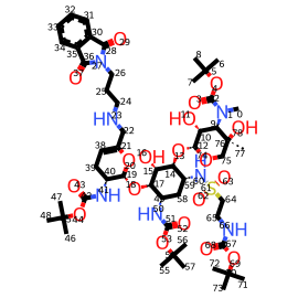 CN(C(=O)OC(C)(C)C)[C@@H]1[C@@H](O)[C@@H](O[C@@H]2[C@@H](O)[C@H](O[C@H]3OC(CNCCCN4C(=O)c5ccccc5C4=O)=CC[C@H]3NC(=O)OC(C)(C)C)[C@@H](NC(=O)OC(C)(C)C)C[C@H]2NS(=O)(=O)CCNC(=O)OC(C)(C)C)OC[C@]1(C)O